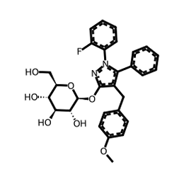 COc1ccc(Cc2c(O[C@@H]3O[C@H](CO)[C@@H](O)[C@H](O)[C@H]3O)nn(-c3ccccc3F)c2-c2ccccc2)cc1